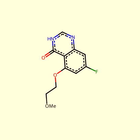 COCCOc1cc(F)cc2nc[nH]c(=O)c12